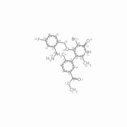 COC(=O)c1ccc(C)c(-c2c(C)[nH]c(=O)c(Br)c2OCc2ccc(F)cc2CN)c1